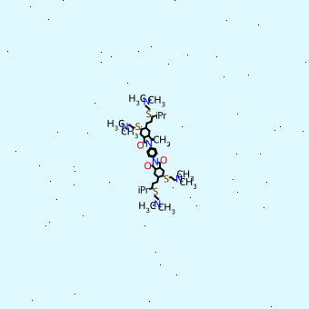 C=C1C2CC(CCC(SCCN(C)C)C(C)C)C(SCCN(C)C)CC2C(=O)N1c1ccc(N2C(=O)C3CC(CCC(SCCN(C)C)C(C)C)C(SCCN(C)C)CC3C2=O)cc1